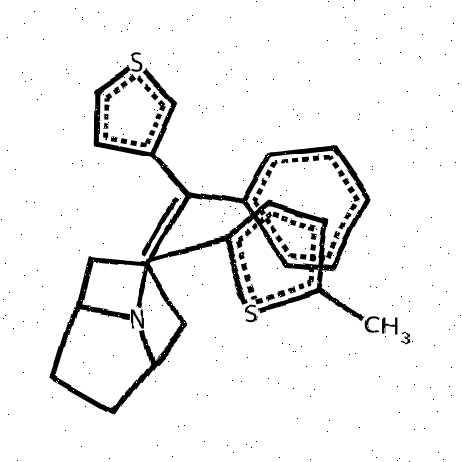 Cc1ccc(CN2C3CCC2CC(=C(c2ccccc2)c2ccsc2)C3)s1